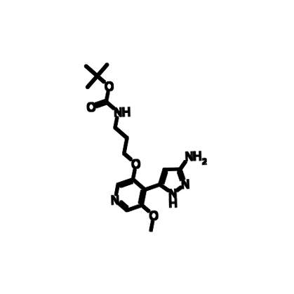 COc1cncc(OCCCNC(=O)OC(C)(C)C)c1-c1cc(N)n[nH]1